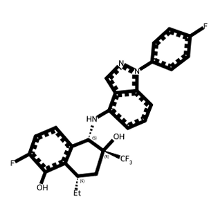 CC[C@H]1C[C@](O)(C(F)(F)F)[C@@H](Nc2cccc3c2cnn3-c2ccc(F)cc2)c2ccc(F)c(O)c21